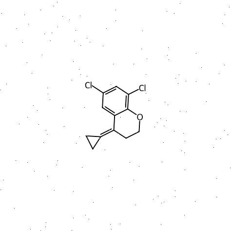 Clc1cc(Cl)c2c(c1)C(=C1CC1)CCO2